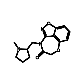 CN1CCCC1CN1C(=O)COc2cccc3onc1c23